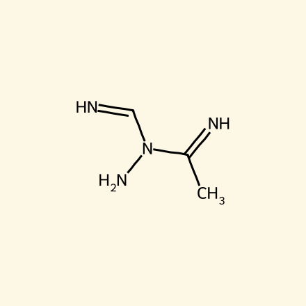 CC(=N)N(N)C=N